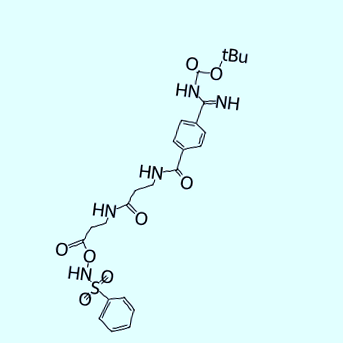 CC(C)(C)OC(=O)NC(=N)c1ccc(C(=O)NCCC(=O)NCCC(=O)ONS(=O)(=O)c2ccccc2)cc1